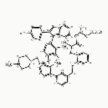 CCOC(=O)OC(C)OC(=O)C(Cc1ccccc1OCc1ccnc(-c2ccccc2OC)n1)Nc1ncnn2cc(-c3ccc(F)cc3)c(-c3ccc(OCCN4CCN(C)CC4)c(Cl)c3C)c12